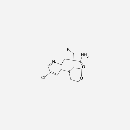 NC(=O)C1(CF)Cc2ncc(Cl)cc2N2CCOCC21